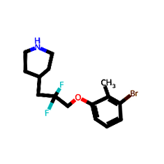 Cc1c(Br)cccc1OCC(F)(F)CC1CCNCC1